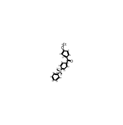 CCOc1ccc(C(=O)c2ccc([Si](C)(C)c3ccccc3)cc2)cc1